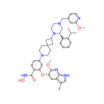 COc1cc(CN2CCN(C3CC4(CCN(c5ccc(C(=O)NO)c(Oc6cc7c(F)c[nH]c7nc6OC)c5)CC4)C3)[C@H](c3ccccc3C(C)C)C2)ccn1